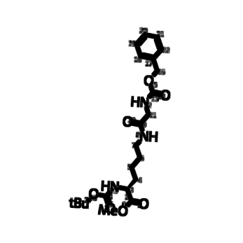 COC(=O)[C@H](CCCCNC(=O)CNC(=O)OCc1ccccc1)NC(=O)OC(C)(C)C